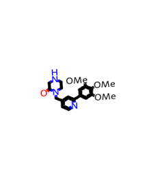 COc1cc(-c2cc(CN3CCNCC3=O)ccn2)cc(OC)c1OC